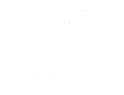 O=C(Cc1cc[n+](CC2CC2)cc1)c1ccc(F)cc1.[Br-]